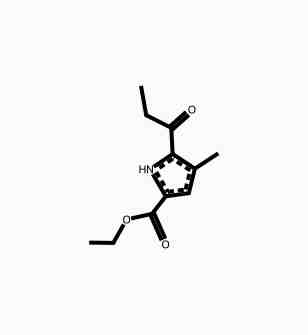 CCOC(=O)c1cc(C)c(C(=O)CC)[nH]1